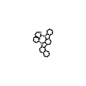 c1ccc(-n2c3ccc4ccccc4c3c3ccc4c5ccccc5n(-c5ncccn5)c4c32)cc1